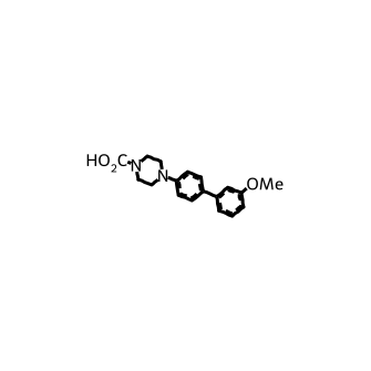 COc1cccc(-c2ccc(N3CCN(C(=O)O)CC3)cc2)c1